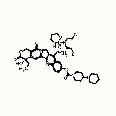 CCc1c2c(nc3ccc(OC(=O)N4CCC(N5CCCCC5)CC4)cc13)-c1cc3c(c(=O)n1C2)COC(=O)[C@]3(O)CC.O=P1(N(CCCl)CCCl)NCCCO1